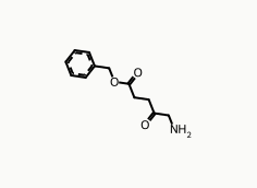 NCC(=O)CCC(=O)OCc1ccccc1